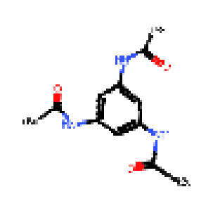 CC(C)(C)C(=O)Nc1cc(NC(=O)C(C)(C)C)cc(NC(=O)C(C)(C)C)c1